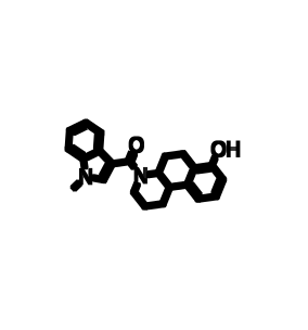 Cn1cc(C(=O)N2CCCC3c4cccc(O)c4CCC32)c2ccccc21